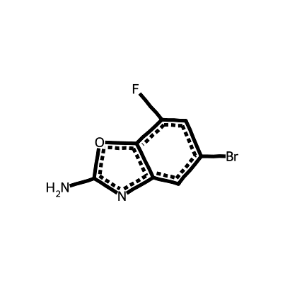 Nc1nc2cc(Br)cc(F)c2o1